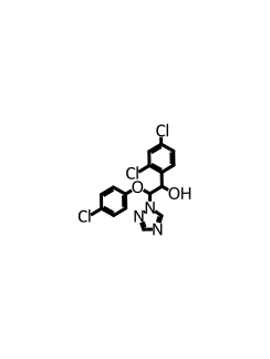 OC(c1ccc(Cl)cc1Cl)C(Oc1ccc(Cl)cc1)n1cncn1